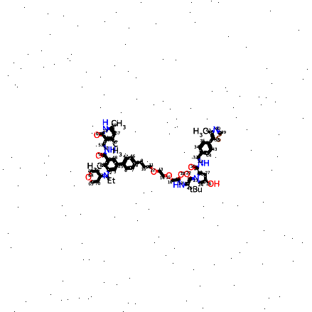 CCN(c1cc(-c2ccc(CCCOCCOCC(=O)N[C@H](C(=O)N3C[C@H](O)C[C@H]3C(=O)NCc3ccc(-c4scnc4C)cc3)C(C)(C)C)cc2)cc(C(=O)NCc2c(C)cc(C)[nH]c2=O)c1C)C1CCOCC1